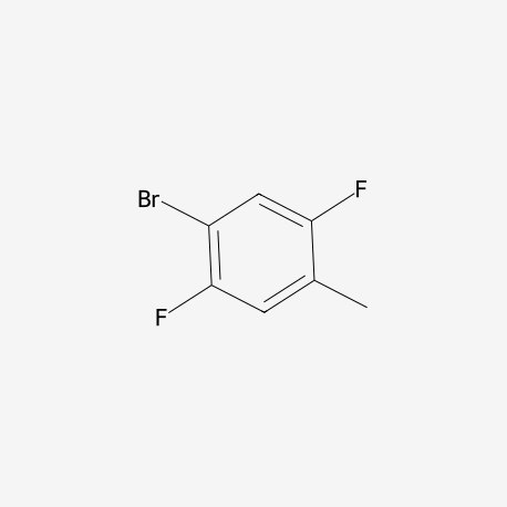 Cc1cc(F)c(Br)cc1F